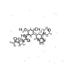 Cc1cc(C)c(-c2cc(N3CCOCC3)c3nccn3c2)cc1NC(=O)N1CC=C(C2(C)CC2)C1